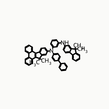 CC1(C)c2ccccc2-c2ccc(Nc3cccc(N(c4ccc(-c5ccccc5)cc4)c4ccc5c(c4)C(C)(C)c4c-5c5ccccc5c5ccccc45)c3)cc21